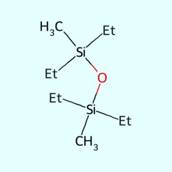 CC[Si](C)(CC)O[Si](C)(CC)CC